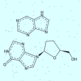 O=c1[nH]cnc2c1ncn2[C@H]1CC[C@@H](CO)O1.c1ncc2[nH]cnc2n1